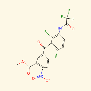 COC(=O)c1cc(C(=O)c2c(F)ccc(NC(=O)C(F)(F)F)c2F)ccc1[N+](=O)[O-]